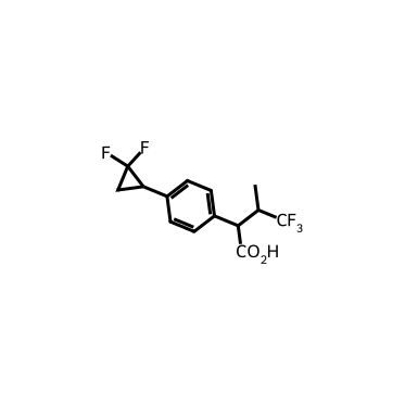 CC(C(C(=O)O)c1ccc(C2CC2(F)F)cc1)C(F)(F)F